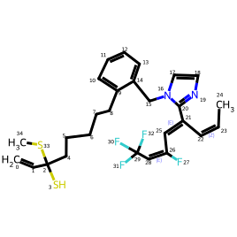 C=CC(S)(CCCCCc1ccccc1Cn1ccnc1C(/C=C\C)=C/C(F)=C\C(F)(F)F)SC